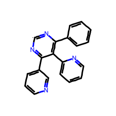 [c]1nc(-c2ccccc2)c(-c2ccccn2)c(-c2cccnc2)n1